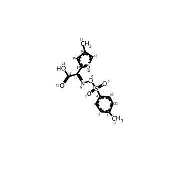 Cc1ccc(S(=O)(=O)ON=C(C(=O)O)c2cc(C)cs2)cc1